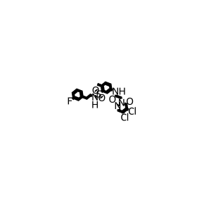 Cc1ccc(NC(=O)Cn2ncc(Cl)c(Cl)c2=O)cc1S(=O)(=O)NCCc1cccc(F)c1